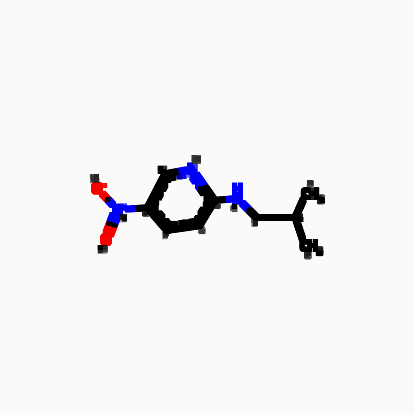 CC(C)CNc1ccc([N+](=O)[O-])cn1